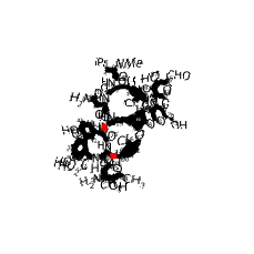 CN[C@H](CC(C)C)C(=O)NC1C(=O)NC(CC(N)=O)C(=O)NC2C(=O)N[C@H]3C(=O)N[C@H](C(=O)NC(C(=O)O)c4cc(O)cc(O)c4-c4cc3ccc4O)[C@H](O[C@H]3CC(C)(N)[C@@H](O)C(C)O3)c3ccc(c(Cl)c3)Oc3cc2cc(c3O[C@@H]2O[C@H](CO)C(O[C@@H]3O[C@H](C=O)[C@H](O)[C@H](O)C3O)[C@H](O)C2O)Oc2ccc(cc2Cl)C1O